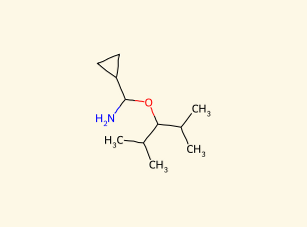 CC(C)C(OC(N)C1CC1)C(C)C